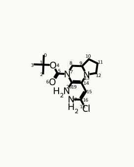 CC(C)(C)OC(=O)N1CC2CCCN2C(/C=C(\N)Cl)=C1N